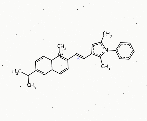 Cc1cc(/C=C/C2=[N+](C)C3C=CC(C(C)C)=CC3C=C2)c(C)n1-c1ccccc1